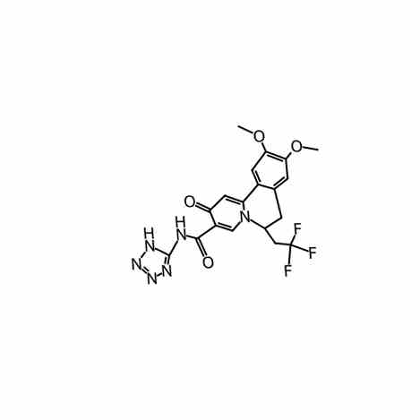 COc1cc2c(cc1OC)-c1cc(=O)c(C(=O)Nc3nnn[nH]3)cn1C(CC(F)(F)F)C2